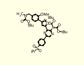 COc1cc(CN(C)C(=O)OC(C)(C)C)ccc1-c1cc(-c2nc(-c3ccc(S(=O)(=O)C(C)C)cc3)cnc2N(C(=O)OC(C)(C)C)C(=O)OC(C)(C)C)on1